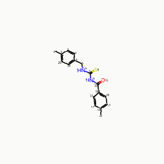 Cc1ccc(CNC(=S)NC(=O)c2ccc(C)cc2)cc1